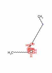 CCCCCCCC/C=C\CCCCCCCCCCCCCCCCCCCC(=O)OC[C@H](O)COP(=O)(O)OC1C(O)C(O)C(O)C(O)C1OC(=O)CCCCCCCCCCCCCCC